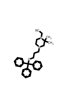 CC1(C)CN(CCCOC(c2ccccc2)(c2ccccc2)c2ccccc2)CCN1CC#N